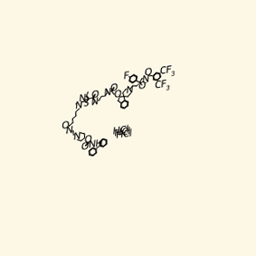 Cc1nc(N(C)CCCCCC(=O)N(C)CCN2CCC(OC(=O)Nc3ccccc3-c3ccccc3)CC2)sc1C(=O)N(C)CCCN(C)C(=O)CO[C@H]1Cc2ccccc2C12CCN(CC[C@@]1(c3ccc(F)cc3)CN(C(=O)c3cc(C(F)(F)F)cc(C(F)(F)F)c3)CO1)CC2.Cl.Cl.Cl